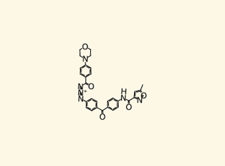 Cc1cc(C(=O)Nc2ccc(C(=O)c3ccc(N=[N+]=NC(=O)c4ccc(N5CCOCC5)cc4)cc3)cc2)no1